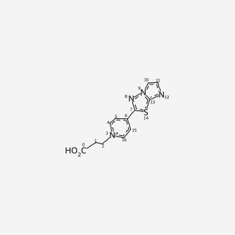 O=C(O)CC[n+]1ccc(-c2nn3ccnc3s2)cc1